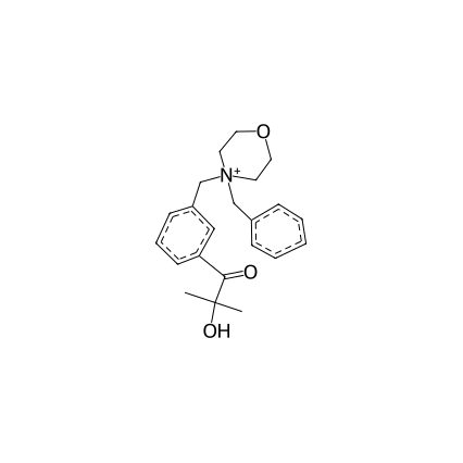 CC(C)(O)C(=O)c1cccc(C[N+]2(Cc3ccccc3)CCOCC2)c1